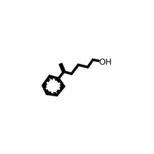 C=C(CCCCO)c1ccccc1